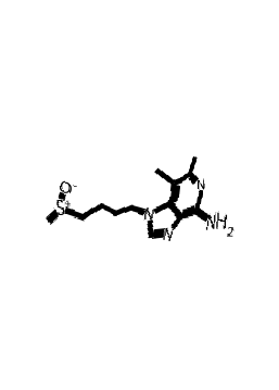 Cc1nc(N)c2ncn(CCCC[S+](C)[O-])c2c1C